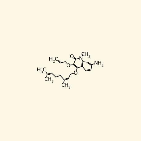 C=CCOc1c(OCC=C(C)CCC=C(C)C)c2ccc(N)cc2n(C)c1=O